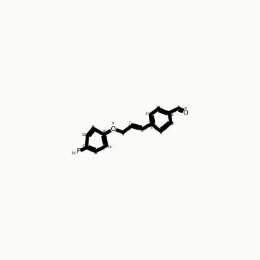 O=Cc1ccc(/C=C/COc2ccc(F)cc2)cc1